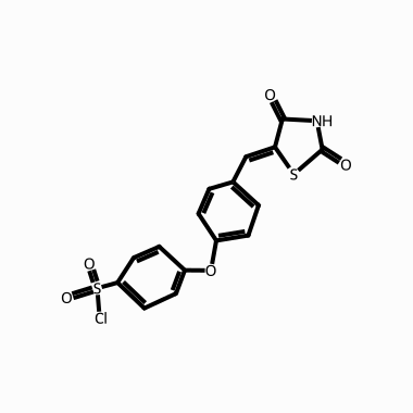 O=C1NC(=O)C(=Cc2ccc(Oc3ccc(S(=O)(=O)Cl)cc3)cc2)S1